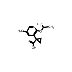 Cc1cnc(OC(C)C)c(C2(C(=O)O)CC2)c1